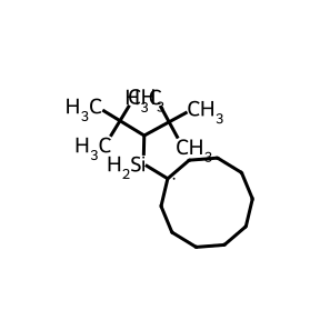 CC(C)(C)C([SiH2][C]1CCCCCCCCC1)C(C)(C)C